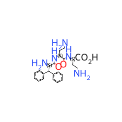 NCC[C@H](NC(=O)[C@H](CCN)NC(=O)[C@@H](N)C(c1ccccc1)c1ccccc1)C(=O)O